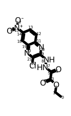 CCOC(=O)C(=O)NNc1nc2ccc([N+](=O)[O-])cc2nc1Cl